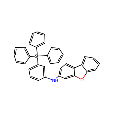 c1ccc([Si](c2ccccc2)(c2ccccc2)c2cccc(Nc3ccc4c(c3)oc3ccccc34)c2)cc1